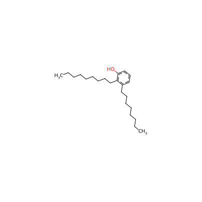 CCCCCCCCCc1c(O)cccc1CCCCCCCC